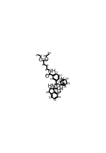 CCOC(CCCNC(=O)c1cccc(CNC2(C(=O)O[C@H]3CN4CCC3CC4)CCc3ccccc32)c1)OCC